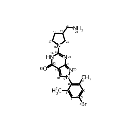 Cc1cc(Br)cc(C)c1-n1cc2c(=O)[nH]c(N3CCC(CN)C3)nc2n1